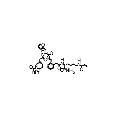 C=CC(=O)NCCCC[C@H](NC(=O)Cc1ccccc1CNC(=O)[C@H](Cc1ccco1)NC(=O)C[C@H]1CCCN(C(=O)CCC)C1)C(N)=O